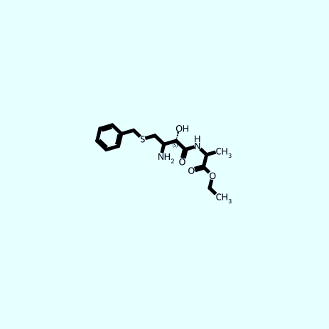 CCOC(=O)C(C)NC(=O)[C@@H](O)C(N)CSCc1ccccc1